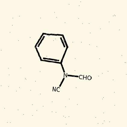 N#CN(C=O)c1ccccc1